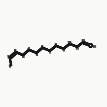 C/C=C\CCCCCCCCCC=O